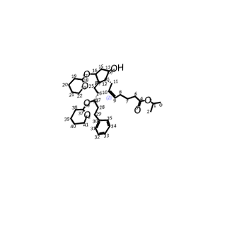 CC(C)OC(=O)CCC/C=C\C[C@H]1[C@@H](O)CC(OC2CCCCO2)[C@@H]1CC[C@H](CCc1ccccc1)OC1CCCCO1